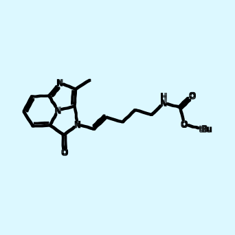 Cc1nc2cccc3c(=O)n(C=CCCCNC(=O)OC(C)(C)C)c1n23